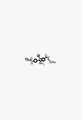 COCCN(C)C(=O)c1ccc2c(N)c(-c3ccc(NC(=O)NC(C)C)cc3)n(C3CCC3)c2c1